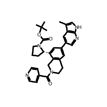 Cc1c[nH]c2ncc(-c3cc4c(c([C@@H]5CCCN5C(=O)OC(C)(C)C)c3)CN(C(=O)c3ccncc3)CC4)cc12